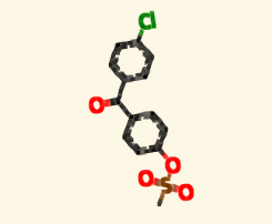 CS(=O)(=O)Oc1ccc(C(=O)c2ccc(Cl)cc2)cc1